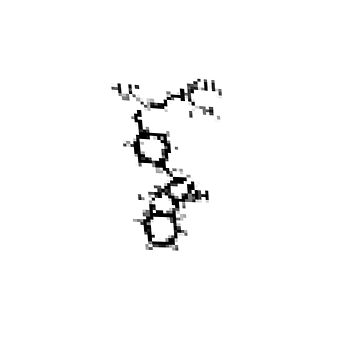 CN(C)CCN(C)Cc1ccc(-c2n[nH]c3c2sc2ccccc23)cc1